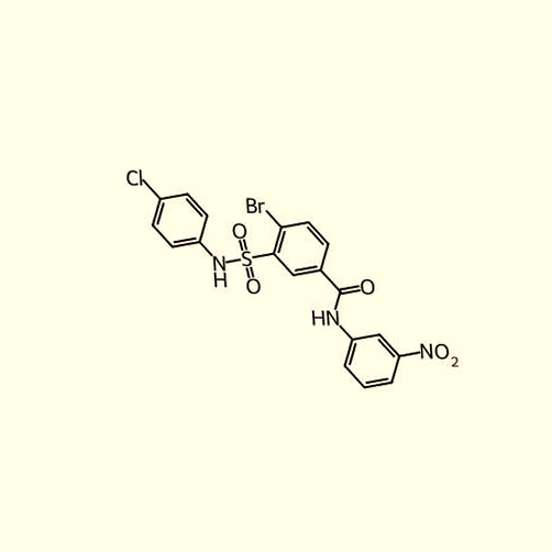 O=C(Nc1cccc([N+](=O)[O-])c1)c1ccc(Br)c(S(=O)(=O)Nc2ccc(Cl)cc2)c1